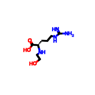 N=C(N)NCCC[C@H](NCCO)C(=O)O